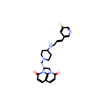 O=c1ccc2ccc(=O)n3c2n1C[C@H]3CN1CCC(NCC=Cc2cncc(F)c2)CC1